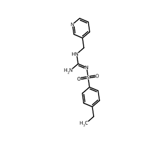 CCc1ccc(S(=O)(=O)/N=C(\N)NCc2cccnc2)cc1